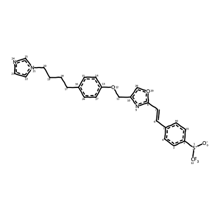 [O-][S+](c1ccc(C=Cc2nc(COc3ccc(CCCCn4ccnc4)cc3)co2)cc1)C(F)(F)F